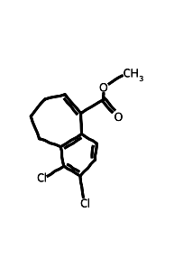 COC(=O)C1=CCCCc2c1ccc(Cl)c2Cl